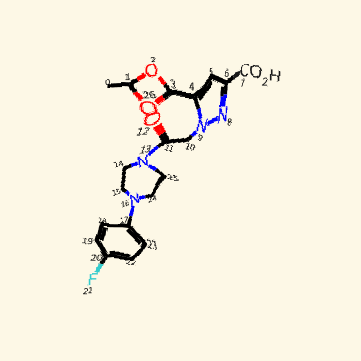 CC1OC(c2cc(C(=O)O)nn2CC(=O)N2CCN(c3ccc(F)cc3)CC2)O1